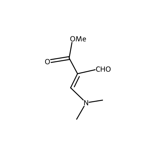 COC(=O)/C(C=O)=C/N(C)C